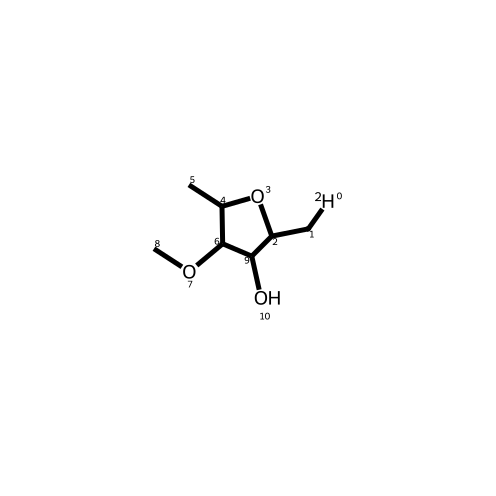 [2H]CC1OC(C)C(OC)C1O